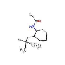 CCC(=O)NC1CCCCC1CC(C)(CC)C(=O)O